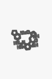 COc1cc[nH]c1C=C1C(=O)Nc2ccc3[nH]c(Nc4ccc5c(c4)CCC5)nc3c21